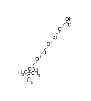 CC(C)(C)OC(=O)CCOCCOCCOCCOCCOCCC(=O)O